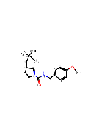 COc1ccc(CNC(=O)N2CCC(CC(C)(C)C)C2)cc1